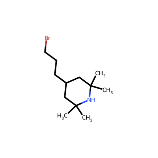 CC1(C)CC(CCCBr)CC(C)(C)N1